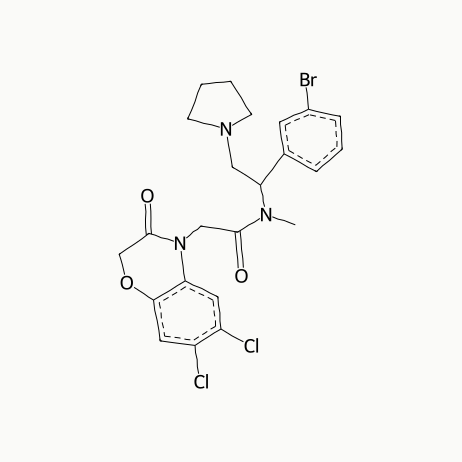 CN(C(=O)CN1C(=O)COc2cc(Cl)c(Cl)cc21)C(CN1CCCC1)c1cccc(Br)c1